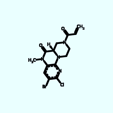 C=CC(=O)N1CCN2c3nc(Cl)c(Br)cc3N(C)C(=O)[C@@H]2C1